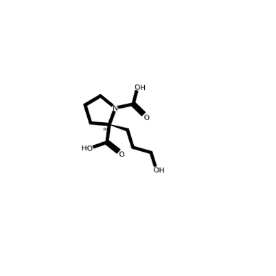 O=C(O)N1CCC[C@@]1(CCCO)C(=O)O